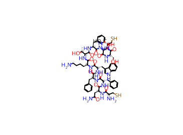 C[C@@H](O)[C@H](NC(=O)[C@H](Cc1ccccc1)NC(=O)[C@@H](NC(=O)[C@H](CCCCN)NC(=O)[C@H](Cc1c[nH]c2ccccc12)NC(=O)[C@H](Cc1ccccc1)NC(=O)[C@H](Cc1ccccc1)NC(=O)[C@H](CC(N)=O)NC(=O)[C@@H](N)CS)[C@@H](C)O)C(=O)N[C@@H](CO)C(=O)N[C@@H](CS)C(=O)O